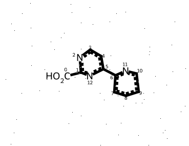 O=C(O)c1nccc(-c2ccccn2)n1